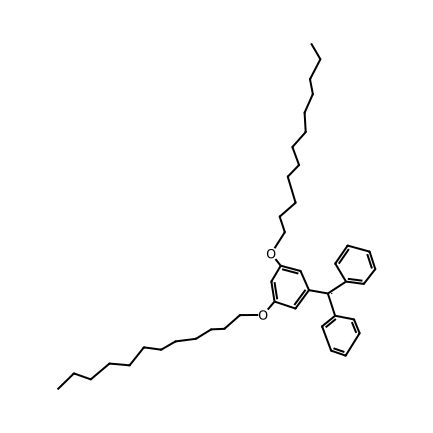 CCCCCCCCCCCCOc1cc(OCCCCCCCCCCCC)cc([C](c2ccccc2)c2ccccc2)c1